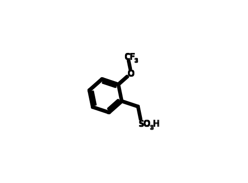 O=S(=O)(O)Cc1ccccc1OC(F)(F)F